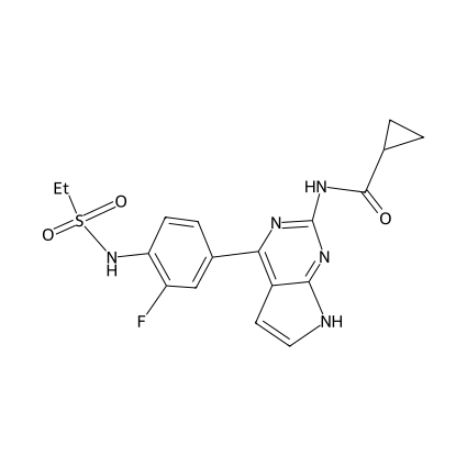 CCS(=O)(=O)Nc1ccc(-c2nc(NC(=O)C3CC3)nc3[nH]ccc23)cc1F